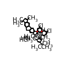 Cl.Cl.[CH2]=[Zr]([C]1=CC(C(C)(C)C)=CC1C)([C]1=C(C)c2cc3c(cc2C1(C)C)Cc1cc2c(cc1-3)C(C)=CC2(C)C)([c]1ccc(Cl)cc1)[c]1ccc(Cl)cc1